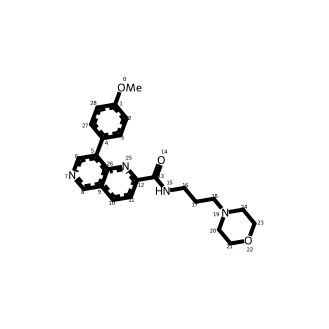 COc1ccc(-c2cncc3ccc(C(=O)NCCCN4CCOCC4)nc23)cc1